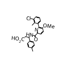 COc1ccc(C(=O)NC(CC(=O)O)c2ccc(C)cc2)nc1-c1cccc(Cl)c1C